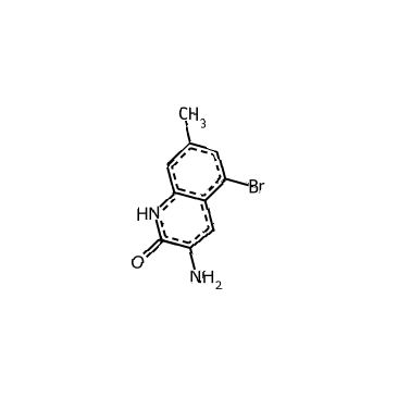 Cc1cc(Br)c2cc(N)c(=O)[nH]c2c1